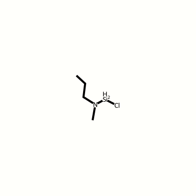 CCCN(C)[SiH2]Cl